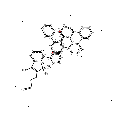 C=CCCC1=C(C)c2cccc(-c3cccc(N(c4ccc5ccccc5c4)c4cccc(-c5ccccc5)c4-c4ccccc4-c4ccccc4)c3)c2C1(C)C